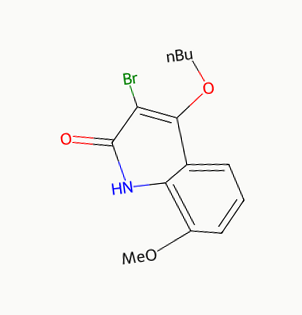 CCCCOc1c(Br)c(=O)[nH]c2c(OC)cccc12